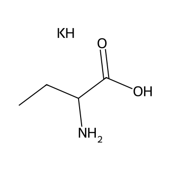 CCC(N)C(=O)O.[KH]